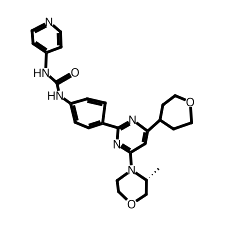 C[C@@H]1COCCN1c1cc(C2CCOCC2)nc(-c2ccc(NC(=O)Nc3ccncc3)cc2)n1